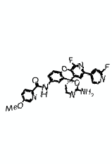 COc1ccc(C(=O)Nc2ccc3c(c2)[C@@]2(CCN=C(N)O2)c2cc(-c4ccnc(F)c4)nc(F)c2O3)nc1